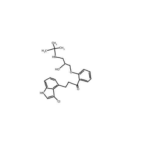 CC(C)(C)NCC(O)COc1ccccc1C(=O)CCc1cccc2[nH]cc(Cl)c12